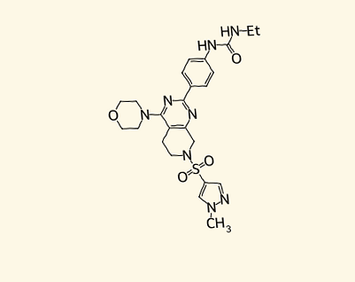 CCNC(=O)Nc1ccc(-c2nc3c(c(N4CCOCC4)n2)CCN(S(=O)(=O)c2cnn(C)c2)C3)cc1